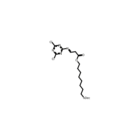 CCCCCCCCCCCCCCCCCCOC(=O)CC=Nc1nc(Cl)nc(Cl)n1